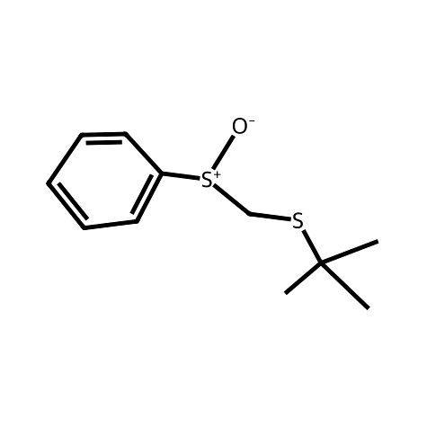 CC(C)(C)SC[S+]([O-])c1ccccc1